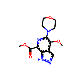 COC(=O)c1nc(N2CCOCC2)c(OC)c2cn[nH]c12